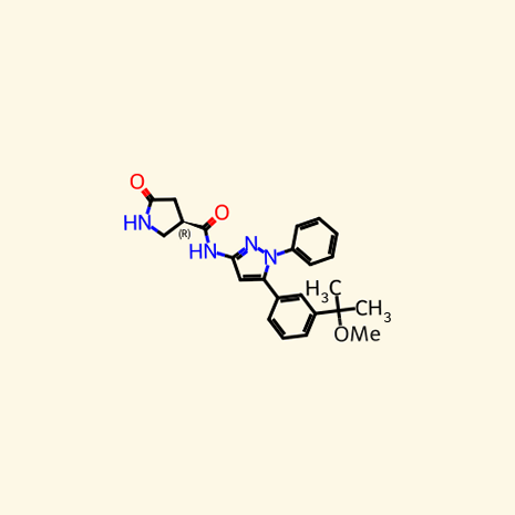 COC(C)(C)c1cccc(-c2cc(NC(=O)[C@H]3CNC(=O)C3)nn2-c2ccccc2)c1